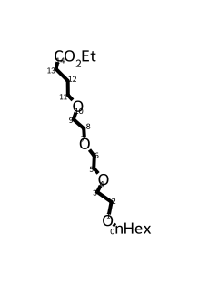 CCCCCCOCCOCCOCCOCCCC(=O)OCC